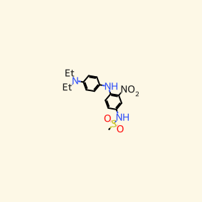 CCN(CC)c1ccc(Nc2ccc(NS(C)(=O)=O)cc2[N+](=O)[O-])cc1